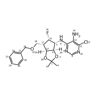 CC1(C)O[C@@H]2[C@@H](Nc3ncnc(Cl)c3N)[C@@H](F)[C@@H](COCc3ccccc3)[C@@H]2O1